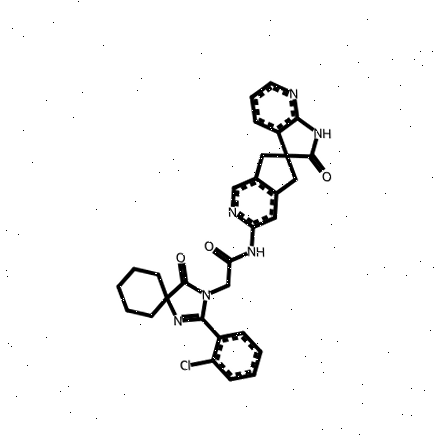 O=C(CN1C(=O)C2(CCCCC2)N=C1c1ccccc1Cl)Nc1cc2c(cn1)CC1(C2)C(=O)Nc2ncccc21